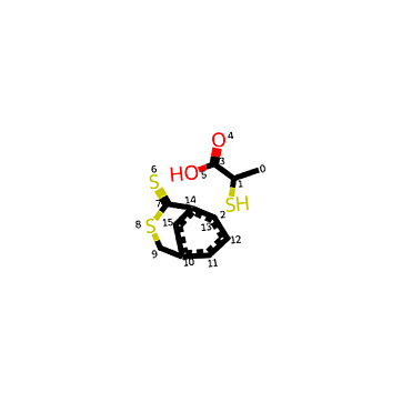 CC(S)C(=O)O.S=C1SCc2cccc1c2